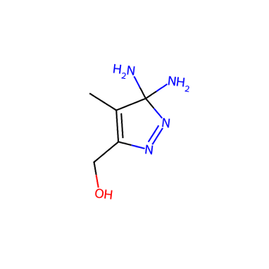 CC1=C(CO)N=NC1(N)N